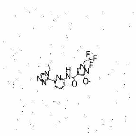 CCn1cnnc1-c1cccc(NC(=O)c2cn(CC(F)(F)F)nc2OC)n1